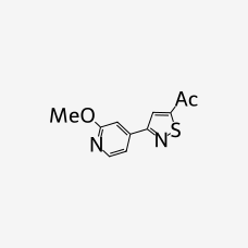 COc1cc(-c2cc(C(C)=O)sn2)ccn1